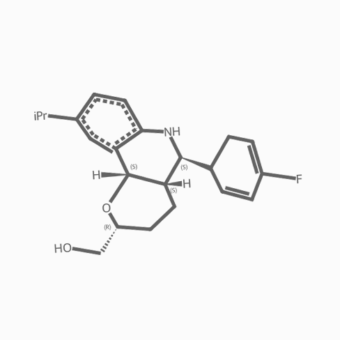 CC(C)c1ccc2c(c1)[C@H]1O[C@@H](CO)CC[C@H]1[C@H](C1C=CC(F)=CC1)N2